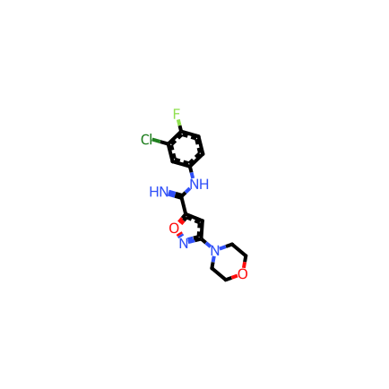 N=C(Nc1ccc(F)c(Cl)c1)c1cc(N2CCOCC2)no1